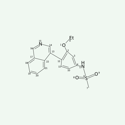 CCOc1cc(NS(C)(=O)=O)ccc1-c1cncc2ccccc12